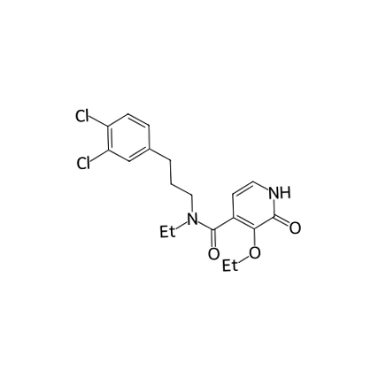 CCOc1c(C(=O)N(CC)CCCc2ccc(Cl)c(Cl)c2)cc[nH]c1=O